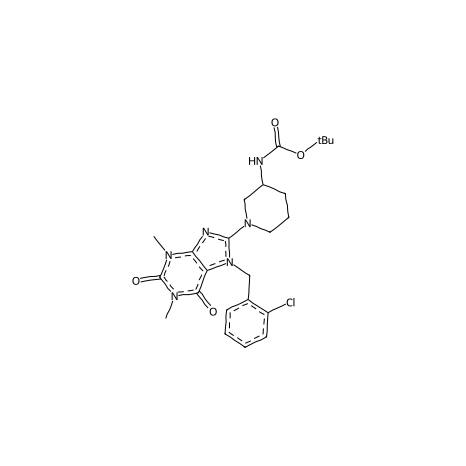 Cn1c(=O)c2c(nc(N3CCCC(NC(=O)OC(C)(C)C)C3)n2Cc2ccccc2Cl)n(C)c1=O